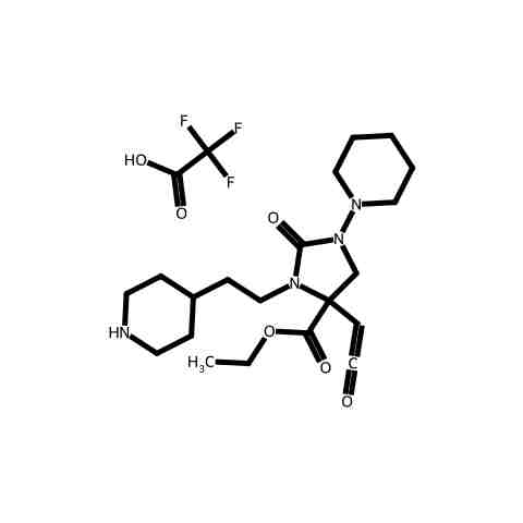 CCOC(=O)C1(C=C=O)CN(N2CCCCC2)C(=O)N1CCC1CCNCC1.O=C(O)C(F)(F)F